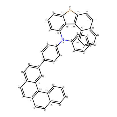 c1ccc(N(c2ccc(-c3ccc4ccc5ccc6ccccc6c5c4c3)cc2)c2cccc3sc4ccc5ccccc5c4c23)cc1